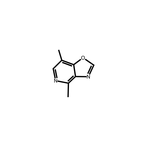 Cc1ncc(C)c2ocnc12